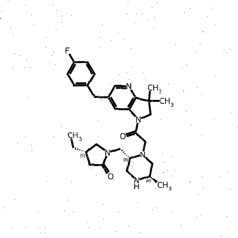 CC[C@H]1CC(=O)N(C[C@H]2CN[C@H](C)CN2CC(=O)N2CC(C)(C)c3ncc(Cc4ccc(F)cc4)cc32)C1